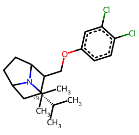 CC(C)[C@@H]1CC2CCC(C1COc1ccc(Cl)c(Cl)c1)N2C(C)C